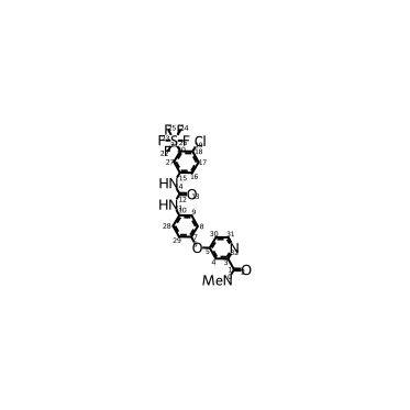 CNC(=O)c1cc(Oc2ccc(NC(=O)Nc3ccc(Cl)c(S(F)(F)(F)(F)F)c3)cc2)ccn1